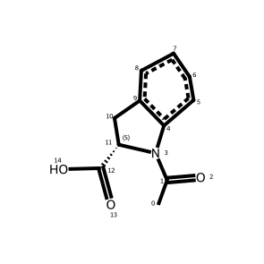 CC(=O)N1c2ccccc2C[C@H]1C(=O)O